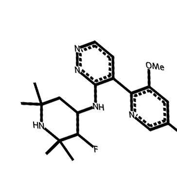 COc1cc(Br)cnc1-c1ccnnc1NC1CC(C)(C)NC(C)(C)C1F